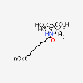 CCCCCCCCC=CCCCCCCCC(=O)NCC(C)C(CC(=O)O)(C(=O)O)S(=O)(=O)O